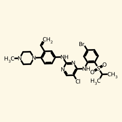 C=Cc1cc(Nc2ncc(Cl)c(Nc3cc(Br)ccc3S(=O)(=O)C(C)C)n2)ccc1N1CCN(C)CC1